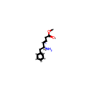 COC(=O)C/C=C/[C@@H](N)Cc1ccccc1